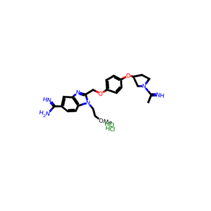 COCCn1c(COc2ccc(OC3CCN(C(C)=N)C3)cc2)nc2cc(C(=N)N)ccc21.Cl.Cl